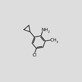 Cc1cc(Cl)cc(C2CC2)c1N